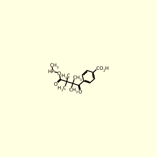 CPOC(=O)C(C)(C)C(C)(C)C(=O)c1ccc(C(=O)O)cc1